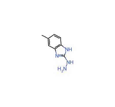 Cc1ccc2[nH]c(NN)nc2c1